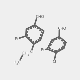 CC.CCc1cc(C=O)ccc1Cl.CCc1cc(C=O)ccc1Cl